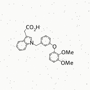 COc1cccc(Oc2cccc(Cn3cc(CC(=O)O)c4ccccc43)c2)c1OC